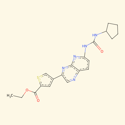 CCOC(=O)c1cc(-c2cnc3ccc(NC(=O)NC4CCCC4)nc3n2)cs1